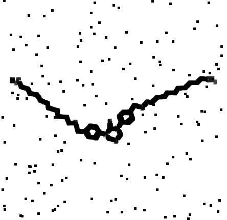 CCCCCCCCCCCCSCc1ccc(N2CSCN(c3ccc(CSCCCCCCCCCCCC)cc3)C2=S)cc1